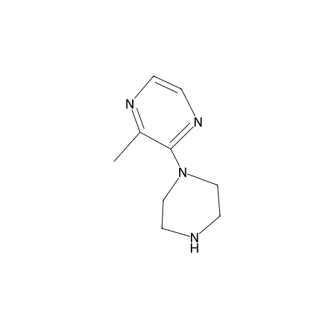 Cc1nccnc1N1CCNCC1